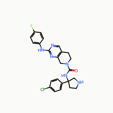 O=C(NC1(c2ccc(Cl)cc2)CCNC1)N1CCc2cnc(Nc3ccc(F)cc3)nc2C1